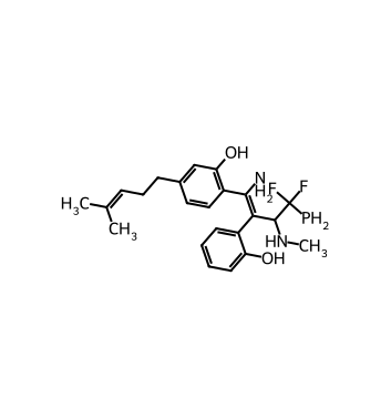 CNC(/C(=C(\N)c1ccc(CCC=C(C)C)cc1O)c1ccccc1O)C(F)(F)P